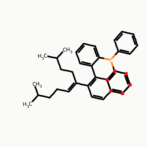 CC(C)CCC=C(CCC(C)C)c1ccc2ccccc2c1-c1ccccc1P(c1ccccc1)c1ccccc1